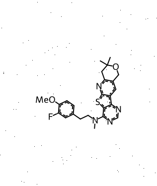 COc1ccc(CCN(C)c2ncnc3c2sc2nc4c(cc23)COC(C)(C)C4)cc1F